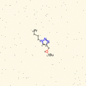 CC(C)CCCn1cc(COC(C)(C)C)nn1